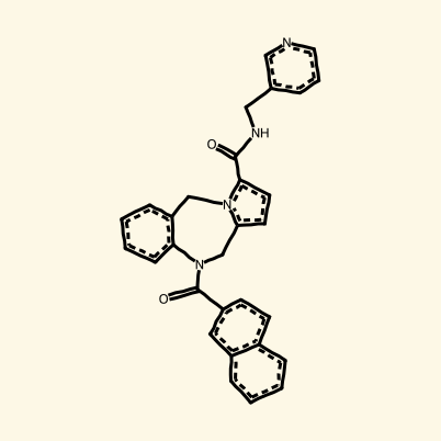 O=C(NCc1cccnc1)c1ccc2n1Cc1ccccc1N(C(=O)c1ccc3ccccc3c1)C2